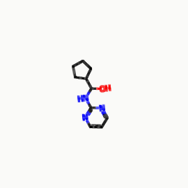 OC(Nc1ncccn1)C1CCCC1